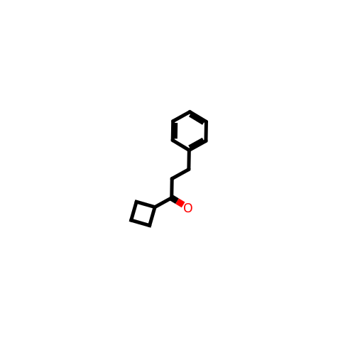 O=C(CCc1ccccc1)C1CCC1